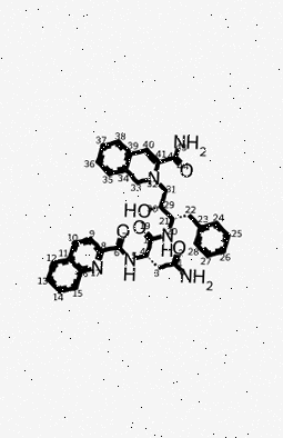 NC(=O)C[C@H](NC(=O)c1ccc2ccccc2n1)C(=O)N[C@@H](Cc1ccccc1)[C@H](O)CN1Cc2ccccc2C=C1C(N)=O